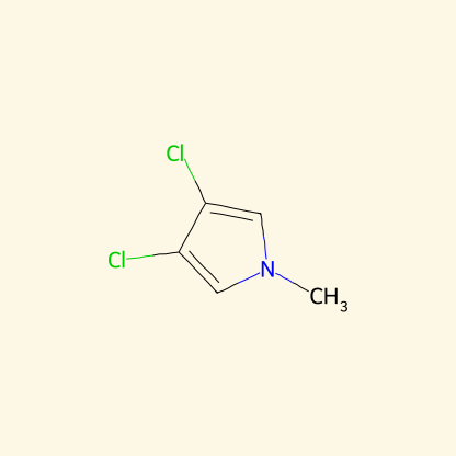 Cn1cc(Cl)c(Cl)c1